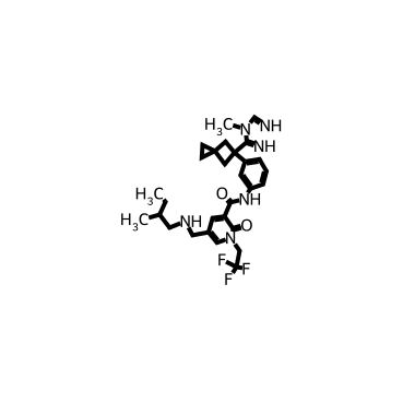 CCC(C)CNCc1cc(C(=O)Nc2cccc(C3(C(=N)N(C)C=N)CC4(CC4)C3)c2)c(=O)n(CC(F)(F)F)c1